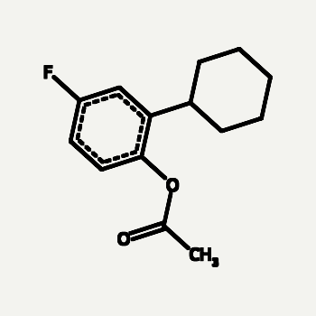 CC(=O)Oc1ccc(F)cc1C1CCCCC1